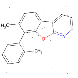 Cc1ccccc1-c1c(C)ccc2c1oc1ncccc12